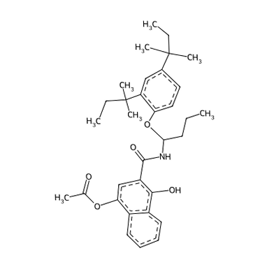 CCCC(NC(=O)c1cc(OC(C)=O)c2ccccc2c1O)Oc1ccc(C(C)(C)CC)cc1C(C)(C)CC